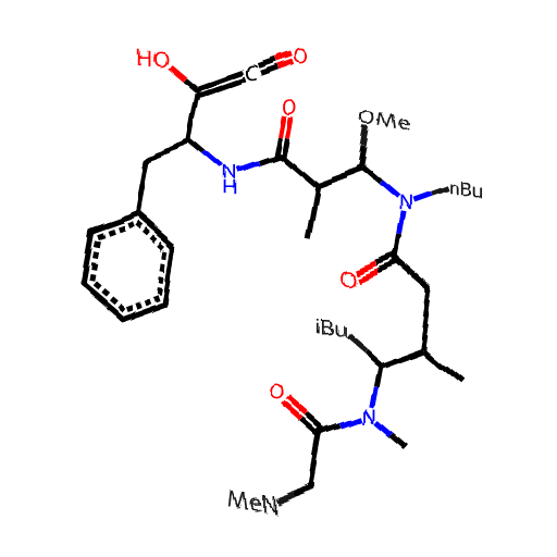 CCCCN(C(=O)CC(C)C(C(C)CC)N(C)C(=O)CNC)C(OC)C(C)C(=O)NC(Cc1ccccc1)C(O)=C=O